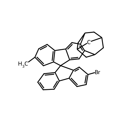 Cc1ccc2c(c1)C1(c3ccccc3-c3ccc(Br)cc31)c1cc3c(cc1-2)C1CC2CC(C1)CC3C2